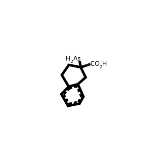 O=C(O)C1([AsH2])CCc2ccccc2C1